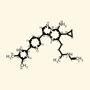 C=CNC(C)CCc1nc2c(-c3ccc(-c4nc(C)c(C)[nH]4)nc3)cnn2c(N)c1C1CC1